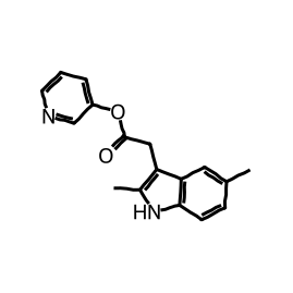 Cc1ccc2[nH]c(C)c(CC(=O)Oc3cccnc3)c2c1